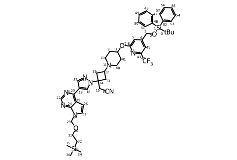 CC(C)(C)[Si](OCc1cc(OC2CCN(C3CC(CC#N)(n4cc(-c5ncnc6c5ccn6COCC[Si](C)(C)C)cn4)C3)CC2)nc(C(F)(F)F)c1)(c1ccccc1)c1ccccc1